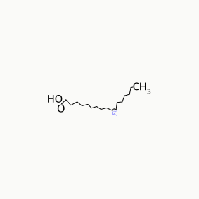 CCCCCC/C=C\CCCCCCCCCC(=O)O